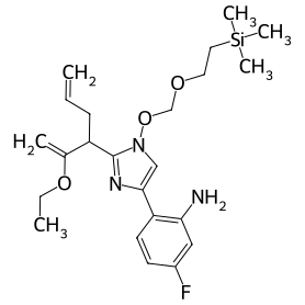 C=CCC(C(=C)OCC)c1nc(-c2ccc(F)cc2N)cn1OCOCC[Si](C)(C)C